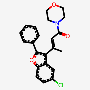 C/C(=C\C(=O)N1CCOCC1)c1c(-c2ccccc2)oc2ccc(Cl)cc12